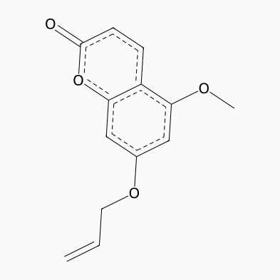 C=CCOc1cc(OC)c2ccc(=O)oc2c1